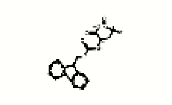 O=PC(F)(F)C[C@@H](NC(=O)OCC1c2ccccc2-c2ccccc21)C(=O)O